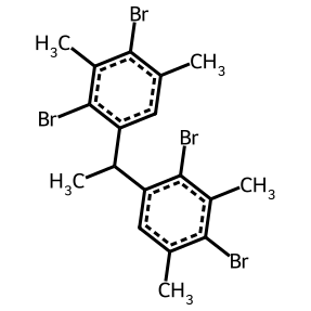 Cc1cc(C(C)c2cc(C)c(Br)c(C)c2Br)c(Br)c(C)c1Br